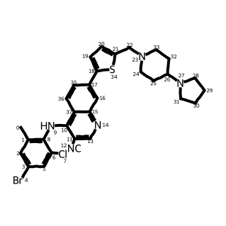 Cc1cc(Br)cc(Cl)c1Nc1c(C#N)cnc2cc(-c3ccc(CN4CCC(N5CCCC5)CC4)s3)ccc12